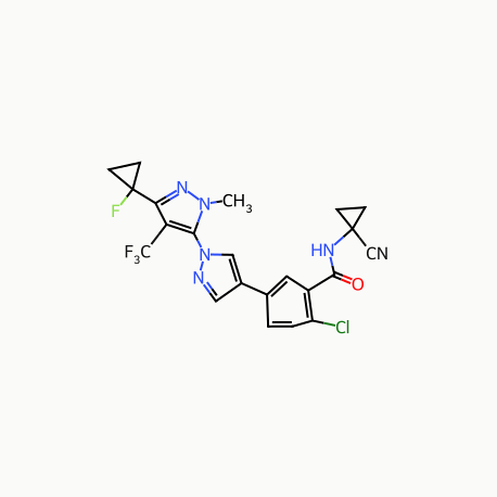 Cn1nc(C2(F)CC2)c(C(F)(F)F)c1-n1cc(-c2ccc(Cl)c(C(=O)NC3(C#N)CC3)c2)cn1